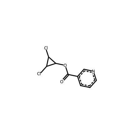 O=C(OC1C(Cl)C1Cl)c1cccnc1